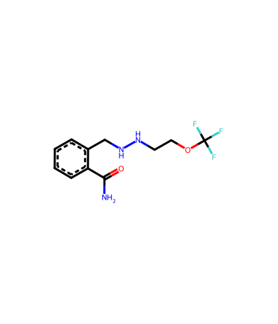 NC(=O)c1ccccc1CNNCCOC(F)(F)F